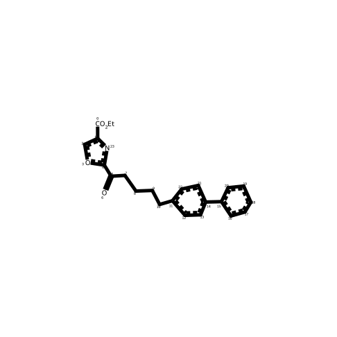 CCOC(=O)c1coc(C(=O)CCCCc2ccc(-c3ccccc3)cc2)n1